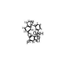 O=S(=O)(Nc1cccc(C2=NCCc3ccc(Cl)cc32)c1)c1ccc(F)cc1Cl